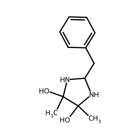 CC1(O)NC(Cc2ccccc2)NC1(C)O